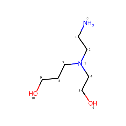 NCCN(CCO)CCCO